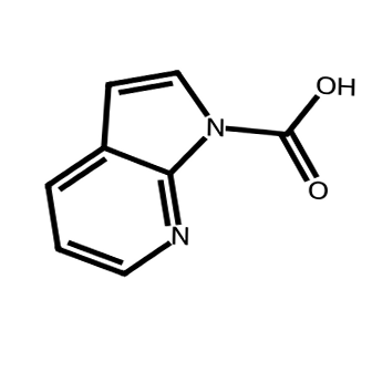 O=C(O)n1ccc2cccnc21